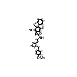 COc1ccc(Cn2ncnc2CCNc2nc3c(C#N)c(C)c(-c4ccccc4)c(F)c3o2)cc1